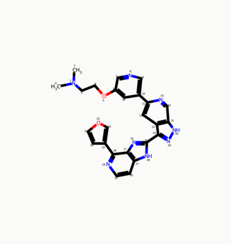 CN(C)CCOc1cncc(-c2cc3c(-c4nc5c(-c6ccoc6)nccc5[nH]4)n[nH]c3cn2)c1